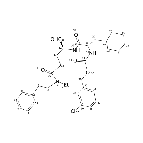 CCN(CCc1ccccc1)C(=O)CC[C@@H](C=O)NC(=O)[C@H](CC1CCCCC1)NC(=O)OCc1cccc(Cl)c1